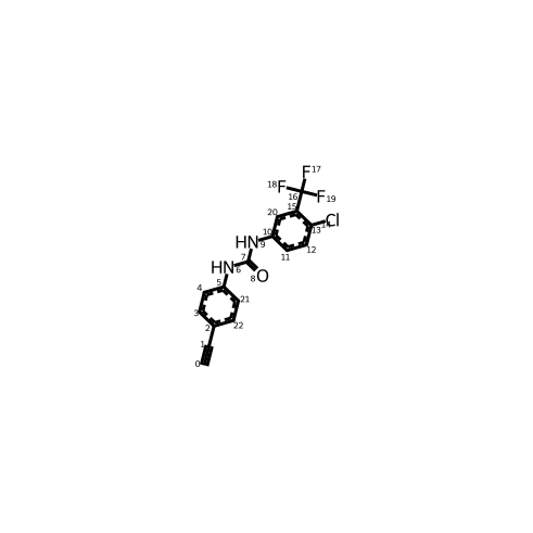 C#Cc1ccc(NC(=O)Nc2ccc(Cl)c(C(F)(F)F)c2)cc1